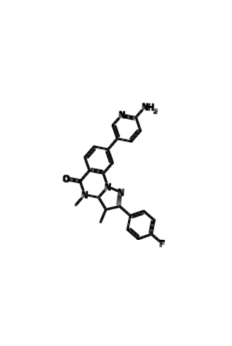 CC1C(c2ccc(F)cc2)=NN2c3cc(-c4ccc(N)nc4)ccc3C(=O)N(C)C12